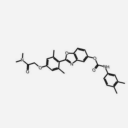 Cc1ccc(NC(=O)Oc2ccc3oc(-c4c(C)cc(OCC(=O)N(C)C)cc4C)nc3c2)cc1C